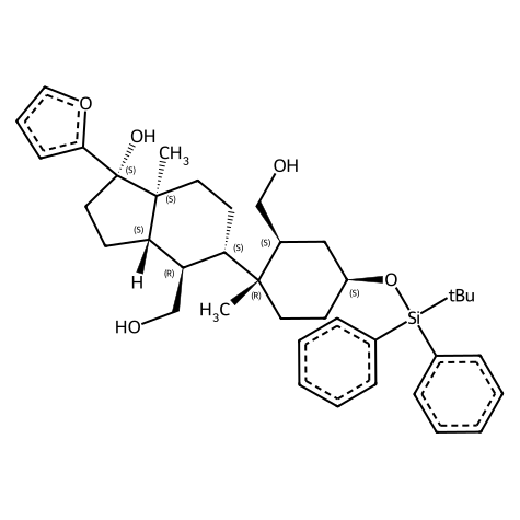 CC(C)(C)[Si](O[C@H]1CC[C@](C)([C@H]2CC[C@@]3(C)[C@@H](CC[C@@]3(O)c3ccco3)[C@@H]2CO)[C@@H](CO)C1)(c1ccccc1)c1ccccc1